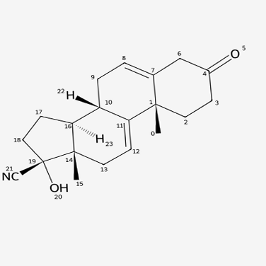 C[C@]12CCC(=O)CC1=CC[C@@H]1C2=CC[C@@]2(C)[C@H]1CC[C@]2(O)C#N